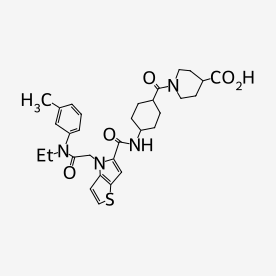 CCN(C(=O)Cn1c(C(=O)NC2CCC(C(=O)N3CCC(C(=O)O)CC3)CC2)cc2sccc21)c1cccc(C)c1